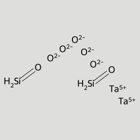 O=[SiH2].O=[SiH2].[O-2].[O-2].[O-2].[O-2].[O-2].[Ta+5].[Ta+5]